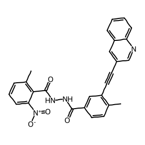 Cc1ccc(C(=O)NNC(=O)c2c(C)cccc2[N+](=O)[O-])cc1C#Cc1cnc2ccccc2c1